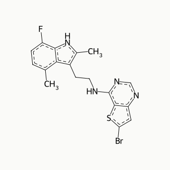 Cc1[nH]c2c(F)ccc(C)c2c1CCNc1ncnc2cc(Br)sc12